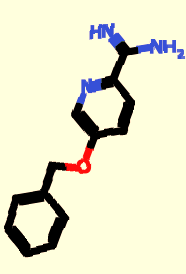 N=C(N)c1ccc(OCc2ccccc2)cn1